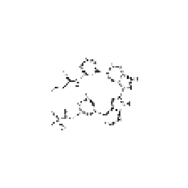 CCCC(=O)Nc1cncc(-c2cc3c(-c4cc5c(-c6cc(F)cc(CNS(C)(=O)=O)c6)ccnc5[nH]4)n[nH]c3cn2)c1